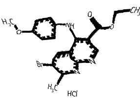 CCOC(=O)c1cnc2nc(C)c(Br)cc2c1Nc1ccc(OC)cc1.Cl